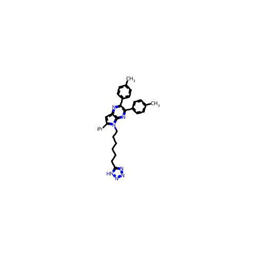 Cc1ccc(-c2nc3cc(C(C)C)n(CCCCCCc4nnn[nH]4)c3nc2-c2ccc(C)cc2)cc1